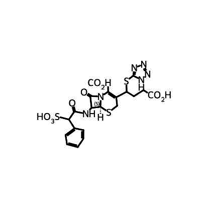 O=C(O)CCC(Sc1nnn[nH]1)C1=C(C(=O)O)N2C(=O)C(NC(=O)C(c3ccccc3)S(=O)(=O)O)[C@@H]2SC1